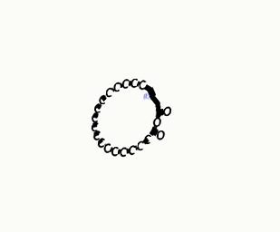 O=C1C/C=C/CCCCCCCCCCCCCCCCCC(=O)O1